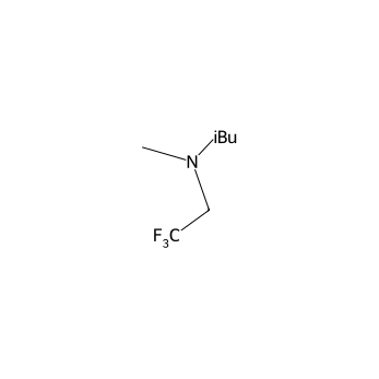 CCC(C)N(C)CC(F)(F)F